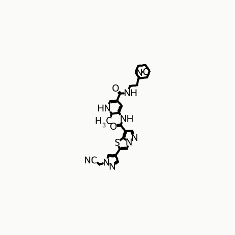 CC1NC=C(C(=O)NCCN2CC3CCC2CC3)C=C1NC(=O)c1cnn2cc(-c3cnn(CC#N)c3)sc12